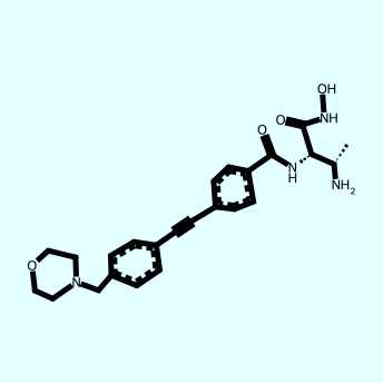 C[C@H](N)[C@H](NC(=O)c1ccc(C#Cc2ccc(CN3CCOCC3)cc2)cc1)C(=O)NO